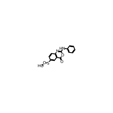 O=c1oc(Nc2ccccc2)nc2ccc(SOO)cc12